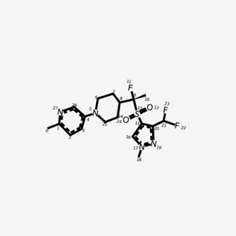 Cc1ccc(N2CCC([C@](C)(F)S(=O)(=O)c3cn(C)nc3C(F)F)CC2)cn1